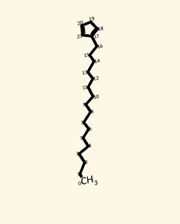 CCCCCCCCCCCCCCCCCC1=[C]CC=C1